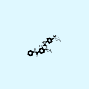 COc1ccc(C(=O)Nc2ccccc2)cc1NC(=S)Nc1ccc(N(C)C)cc1